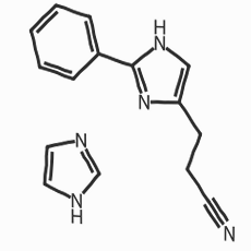 N#CCCc1c[nH]c(-c2ccccc2)n1.c1c[nH]cn1